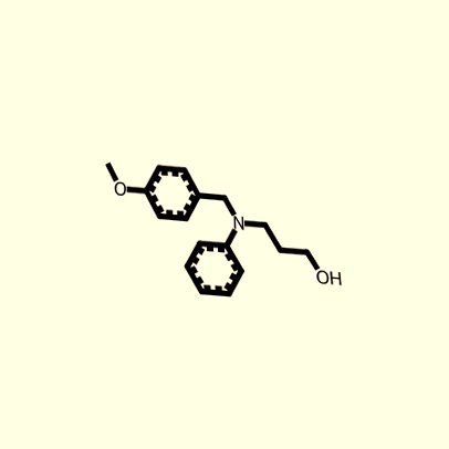 COc1ccc(CN(CCCO)c2ccccc2)cc1